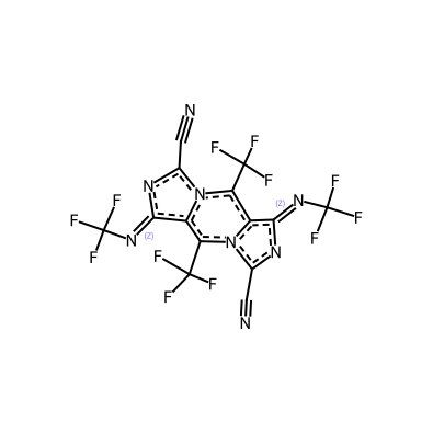 N#Cc1n/c(=N\C(F)(F)F)c2c(C(F)(F)F)n3c(C#N)n/c(=N\C(F)(F)F)c3c(C(F)(F)F)n12